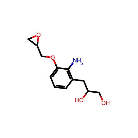 Nc1c(CC(O)CO)cccc1OCC1CO1